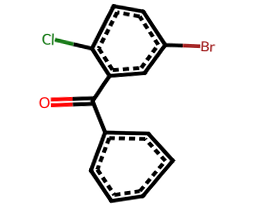 O=C(c1ccccc1)c1cc(Br)ccc1Cl